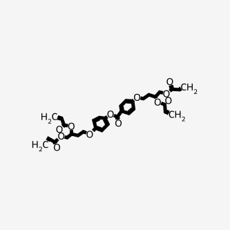 C=CC(=O)OCC(CCOc1ccc(OC(=O)c2ccc(OCCC(COC(=O)C=C)OC(=O)C=C)cc2)cc1)OC(=O)C=C